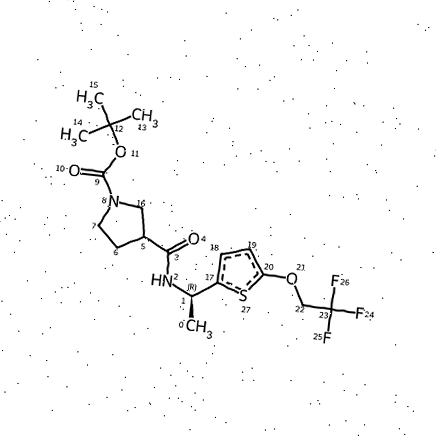 C[C@@H](NC(=O)C1CCN(C(=O)OC(C)(C)C)C1)c1ccc(OCC(F)(F)F)s1